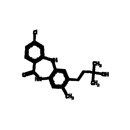 Cc1cc2c(cc1CCC(C)(C)O)Nc1cc(Cl)ccc1C(=O)N2